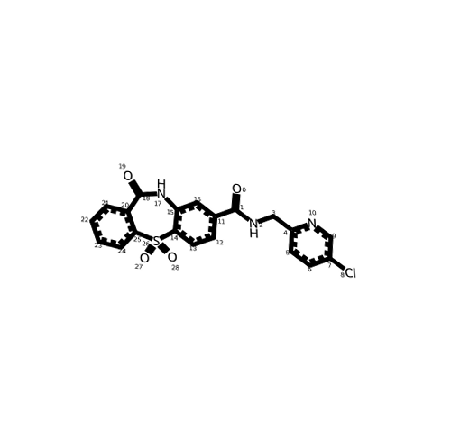 O=C(NCc1ccc(Cl)cn1)c1ccc2c(c1)NC(=O)c1ccccc1S2(=O)=O